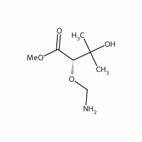 COC(=O)[C@@H](OCN)C(C)(C)O